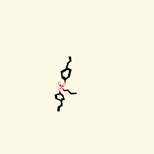 C=CCc1ccc(OP(=O)(CCCC)Oc2ccc(CC=C)cc2)cc1